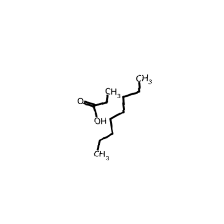 CCC(=O)O.CCCCCCCC